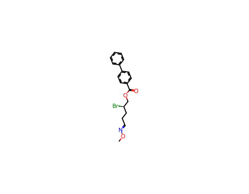 CO/N=C/CC[C@@H](Br)COC(=O)c1ccc(-c2ccccc2)cc1